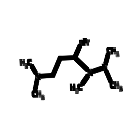 CCCC(CCN(C)C)N(C)N(C)C